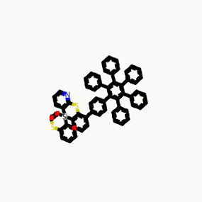 c1ccc(-c2c(-c3ccccc3)c(-c3ccccc3)c(-c3ccc(-c4cccc5c4Sc4ncccc4[Si]54c5ccccc5Sc5ccccc54)cc3)c(-c3ccccc3)c2-c2ccccc2)cc1